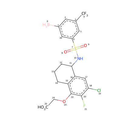 Bc1cc(C(F)(F)F)cc(S(=O)(=O)NC2CCCc3c2cc(Cl)c(F)c3OCC(=O)O)c1